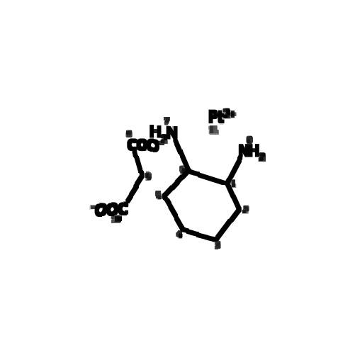 NC1CCCCC1N.O=C([O-])CC(=O)[O-].[Pt+2]